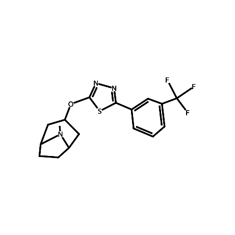 CN1C2CCC1CC(Oc1nnc(-c3cccc(C(F)(F)F)c3)s1)C2